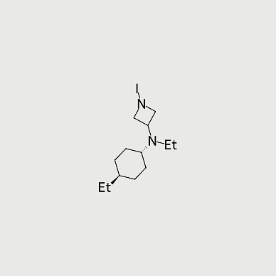 CCN(C1CN(I)C1)[C@H]1CC[C@H](CC)CC1